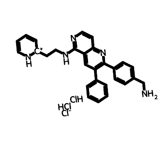 Cl.Cl.NCc1ccc(-c2nc3ccnc(NCC[c+]4cccc[nH]4)c3cc2-c2ccccc2)cc1.[Cl-]